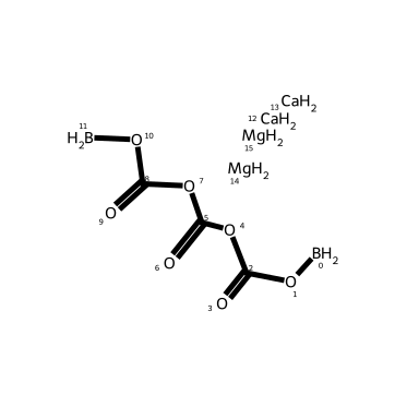 BOC(=O)OC(=O)OC(=O)OB.[CaH2].[CaH2].[MgH2].[MgH2]